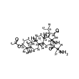 CC(=O)O[C@H]1CC[C@]2(C)[C@H]3CC[C@@H]4C5=C(C(C)C)C(=O)C[C@]5(NC(=O)C(C)(C)N)CC[C@@]4(C)[C@]3(C)CC[C@H]2C1(C)C